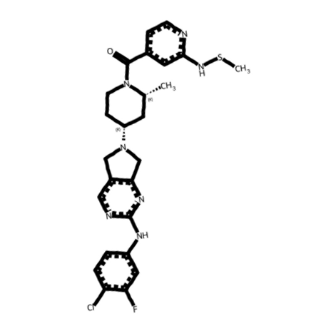 CSNc1cc(C(=O)N2CC[C@@H](N3Cc4cnc(Nc5ccc(Cl)c(F)c5)nc4C3)C[C@H]2C)ccn1